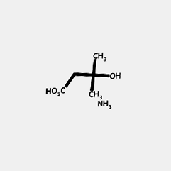 CC(C)(O)CC(=O)O.N